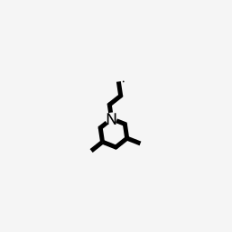 [CH2]CCN1CC(C)CC(C)C1